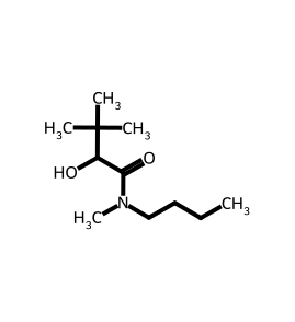 CCCCN(C)C(=O)C(O)C(C)(C)C